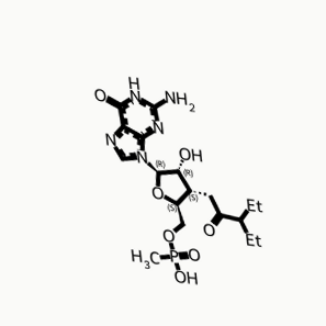 CCC(CC)C(=O)C[C@H]1[C@@H](O)[C@H](n2cnc3c(=O)[nH]c(N)nc32)O[C@@H]1COP(C)(=O)O